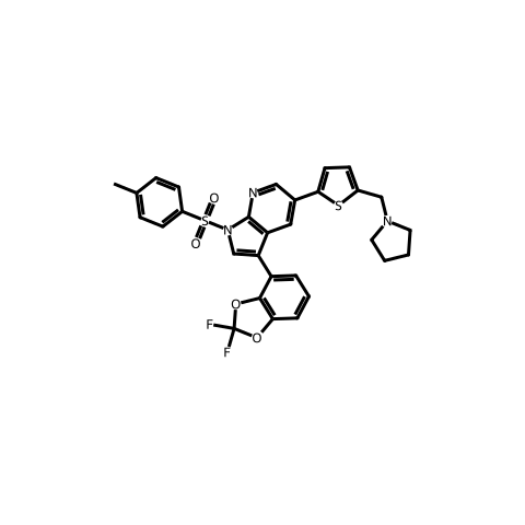 Cc1ccc(S(=O)(=O)n2cc(-c3cccc4c3OC(F)(F)O4)c3cc(-c4ccc(CN5CCCC5)s4)cnc32)cc1